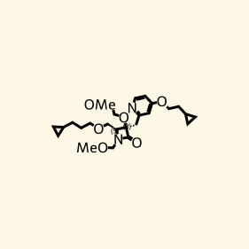 COCO[C@@]1(Cc2cc(OCCC3CC3)ccn2)C(=O)N(COC)[C@H]1COCCCC1CC1